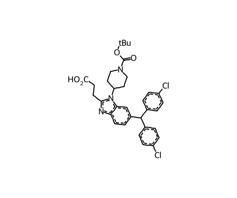 CC(C)(C)OC(=O)N1CCC(n2c(CCC(=O)O)nc3ccc(C(c4ccc(Cl)cc4)c4ccc(Cl)cc4)cc32)CC1